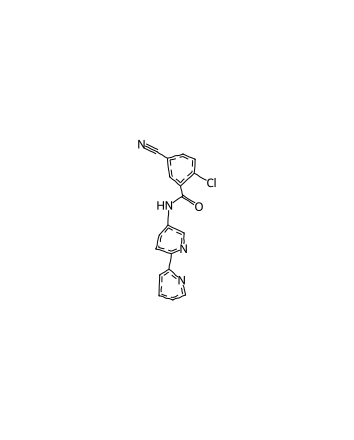 N#Cc1ccc(Cl)c(C(=O)Nc2ccc(-c3ccccn3)nc2)c1